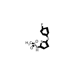 CS(=O)(=O)Nc1ccc(Sc2ccc(F)cc2)s1